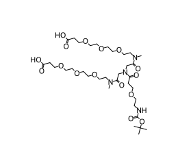 CN(CCOCCOCCOCCC(=O)O)C(=O)CN(CC(=O)N(C)CCOCCOCCOCCC(=O)O)C(=O)CCOCCNC(=O)OC(C)(C)C